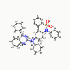 O=S1(=O)c2ccccc2-c2cc3c(cc2N1c1ccccc1)c1ccccc1n3-c1nc(-c2ccccc2)c2ccccc2n1